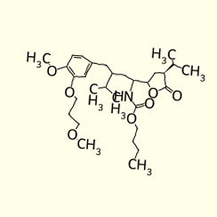 CCCCOC(=O)NC(CC(Cc1ccc(OC)c(OCCCOC)c1)C(C)C)C1C[C@@H](C(C)C)C(=O)O1